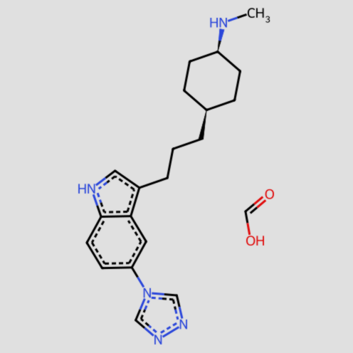 CN[C@H]1CC[C@@H](CCCc2c[nH]c3ccc(-n4cnnc4)cc23)CC1.O=CO